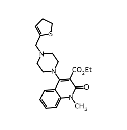 CCOC(=O)c1c(N2CCN(CC3=CCCS3)CC2)c2ccccc2n(C)c1=O